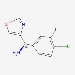 N[C@H](c1ccc(Cl)c(F)c1)c1cocn1